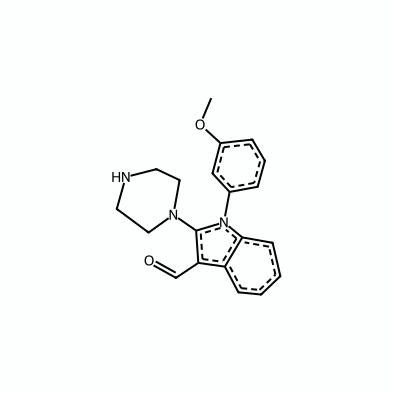 COc1cccc(-n2c(N3CCNCC3)c(C=O)c3ccccc32)c1